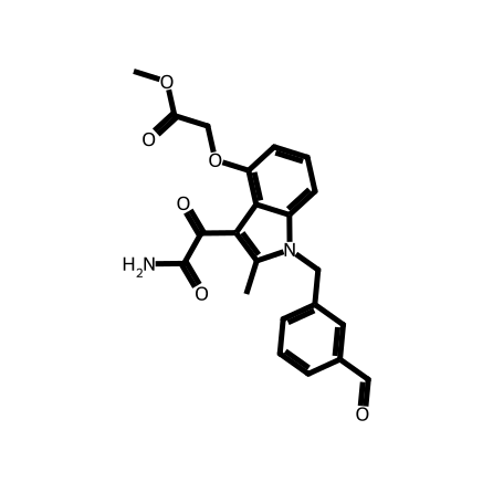 COC(=O)COc1cccc2c1c(C(=O)C(N)=O)c(C)n2Cc1cccc(C=O)c1